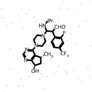 CC(C)NC(C(C=O)c1ccc(C(F)(F)F)cc1F)N1CCN(c2ncnc3c2[C@H](C)C[C@H]3O)CC1